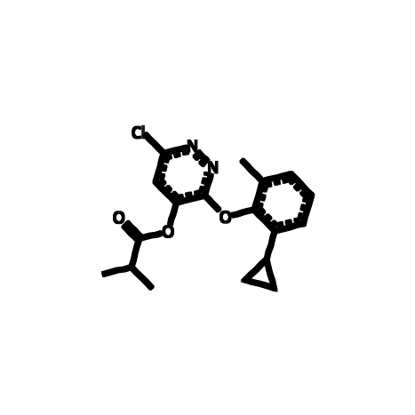 Cc1cccc(C2CC2)c1Oc1nnc(Cl)cc1OC(=O)C(C)C